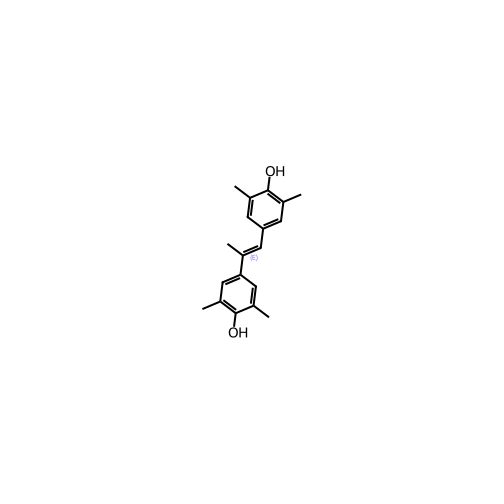 C/C(=C\c1cc(C)c(O)c(C)c1)c1cc(C)c(O)c(C)c1